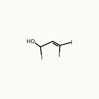 OC(I)C=C(I)I